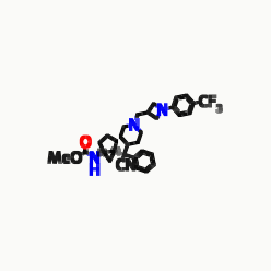 COC(=O)N[C@]12CCC[C@@]1(C(C#N)(c1ccccc1)C1CCN(CC3CN(c4ccc(C(F)(F)F)cc4)C3)CC1)C2